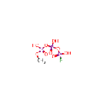 COP(=O)(O)OP(=O)(O)OP(=O)(O)F